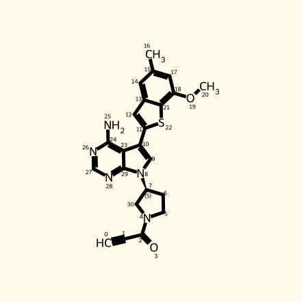 C#CC(=O)N1CC[C@H](n2cc(-c3cc4cc(C)cc(OC)c4s3)c3c(N)ncnc32)C1